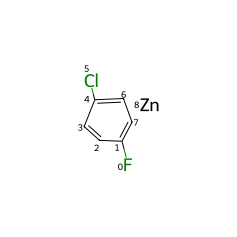 Fc1ccc(Cl)cc1.[Zn]